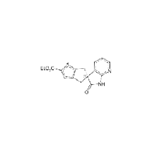 CCOC(=O)c1cc2c(s1)C[C@@]1(C2)C(=O)Nc2ncccc21